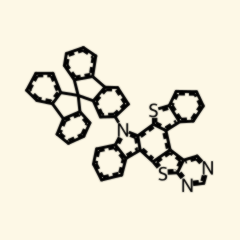 c1ccc2c(c1)-c1ccccc1C21c2ccccc2-c2ccc(-n3c4ccccc4c4c5sc6ncncc6c5c5c6ccccc6sc5c43)cc21